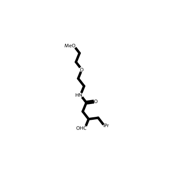 COCCOCCNC(=O)CC(C=O)CC(C)C